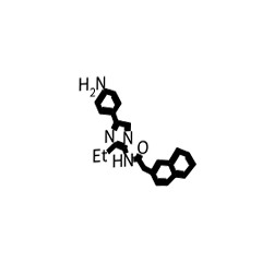 CCc1nc(-c2ccc(N)cc2)cnc1NC(=O)Cc1ccc2ccccc2c1